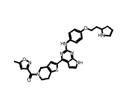 Cc1cc(C(=O)N2CCc3sc(-c4nc(Nc5ccc(OCCC6CCCN6)cc5)nc5[nH]ccc45)cc3C2)no1